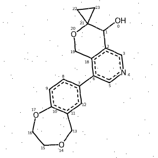 OC1c2cncc(-c3ccc4c(c3)COCCO4)c2COC12CC2